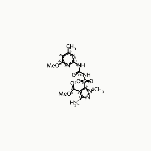 COC(=O)c1c(C)nn(C)c1S(=O)(=O)NC(=O)Nc1nc(C)cc(OC)n1